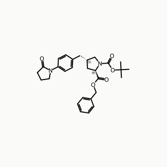 CC(C)(C)OC(=O)N1C[C@@H](Cc2ccc(N3CCCC3=O)cc2)C[C@@H]1C(=O)OCc1ccccc1